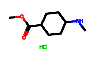 CNC1CCC(C(=O)OC)CC1.Cl